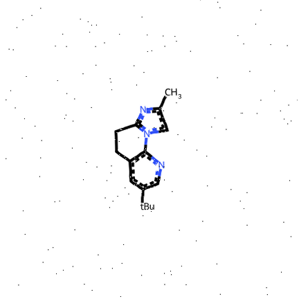 Cc1cn2c(n1)CCc1cc(C(C)(C)C)cnc1-2